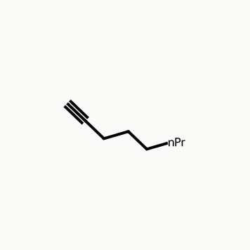 C#CCCCCC[CH2]